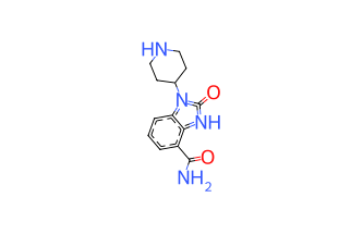 NC(=O)c1cccc2c1[nH]c(=O)n2C1CCNCC1